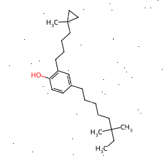 CCC(C)(C)CCCCCc1ccc(O)c(CCCCC2(C)CC2)c1